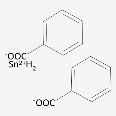 O=C([O-])c1ccccc1.O=C([O-])c1ccccc1.[SnH2+2]